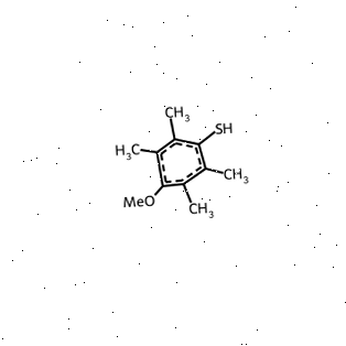 COc1c(C)c(C)c(S)c(C)c1C